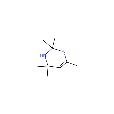 CC1=CC(C)(C)NC(C)(C)N1